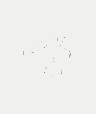 CC1(C)Oc2ccccc2C(N2CCCC2=O)C1(O)C#N